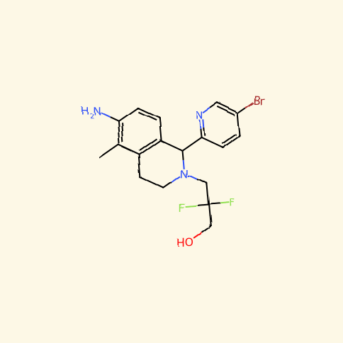 Cc1c(N)ccc2c1CCN(CC(F)(F)CO)C2c1ccc(Br)cn1